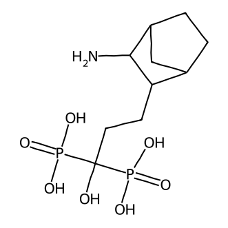 NC1C2CCC(C2)C1CCC(O)(P(=O)(O)O)P(=O)(O)O